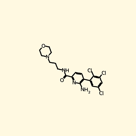 Nc1nc(C(=O)NCCCN2CCOCC2)ccc1-c1cc(Cl)cc(Cl)c1Cl